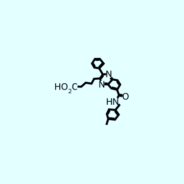 Cc1ccc(CNC(=O)c2ccc3nc(-c4ccccc4)c(CCCCC(=O)O)nc3c2)cc1